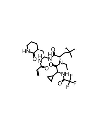 C=CC(=O)N[C@H](C[C@@H]1CCCNC1=O)NC(=O)[C@H]([C@@H]1CC1(C)C)N(CC)C(=O)[C@@H](NC(=O)C(F)(F)F)C1CC1